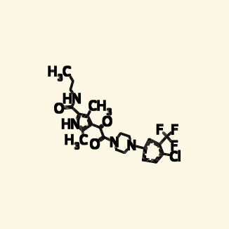 CCCNC(=O)c1[nH]c(C)c(C(=O)C(=O)N2CCN(c3ccc(Cl)c(C(F)(F)F)c3)CC2)c1C